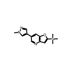 Cn1cc(-c2cnc3cc([Si](C)(C)C)oc3c2)cn1